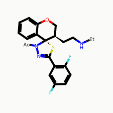 CCNCC[C@@H]1COc2ccccc2[C@@]12SC(c1cc(F)ccc1F)=NN2C(C)=O